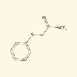 O=C(CSc1ccccc1)NC(F)(F)F